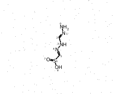 NN=CNN=CS(=O)O